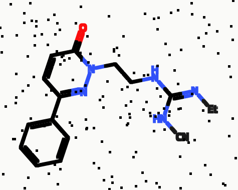 CC/N=C(\NC#N)NCCn1nc(-c2ccccc2)ccc1=O